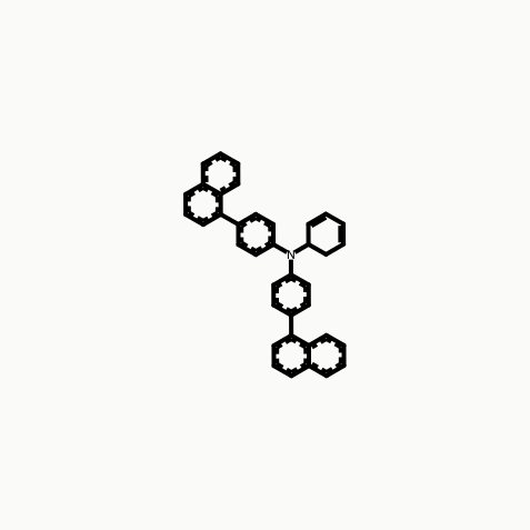 C1=CCC(N(c2ccc(-c3cccc4ccccc34)cc2)c2ccc(-c3cccc4ccccc34)cc2)C=C1